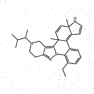 CCc1cccc2c1-n1nc3c(c1C1(C)C=CC4(C)NC=CC4=C21)CN(C(C)C(C)C)CC3